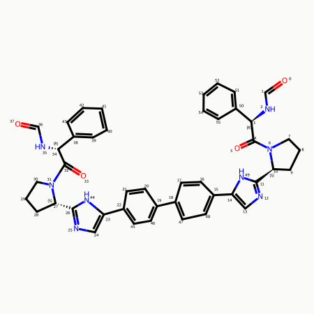 O=CN[C@@H](C(=O)N1CCC[C@H]1c1ncc(-c2ccc(-c3ccc(-c4cnc([C@@H]5CCCN5C(=O)[C@H](NC=O)c5ccccc5)[nH]4)cc3)cc2)[nH]1)c1ccccc1